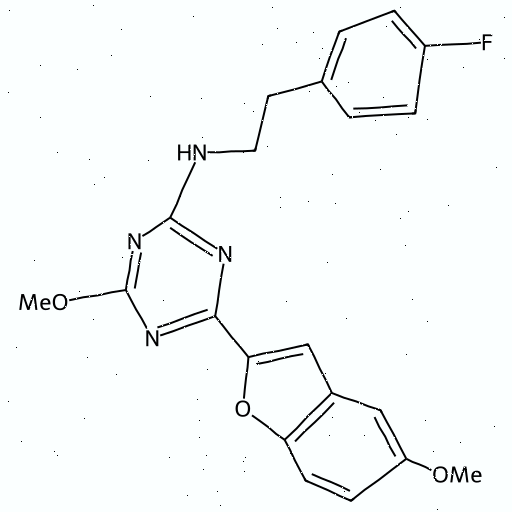 COc1ccc2oc(-c3nc(NCCc4ccc(F)cc4)nc(OC)n3)cc2c1